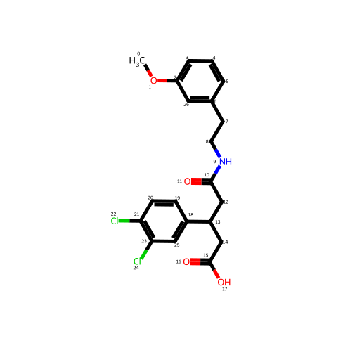 COc1cccc(CCNC(=O)CC(CC(=O)O)c2ccc(Cl)c(Cl)c2)c1